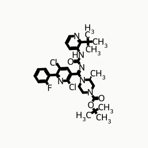 C[C@H]1CN(C(=O)OC(C)(C)C)CCN1C(=NC(=O)Nc1cccnc1C(C)(C)C)c1cc(Cl)c(-c2ccccc2F)nc1Cl